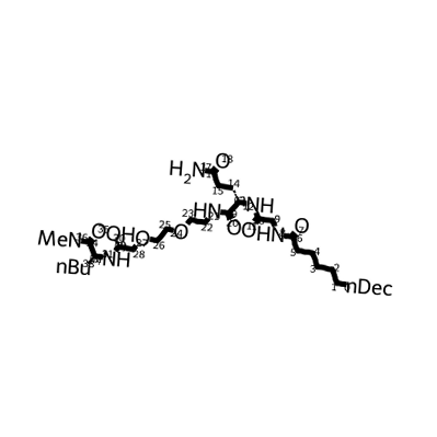 CCCCCCCCCCCCCCCC(=O)NCC(=O)N[C@@H](CCC(N)=O)C(=O)NCCOCCOC[C@@H](O)N[C@@H](CCCC)C(=O)NC